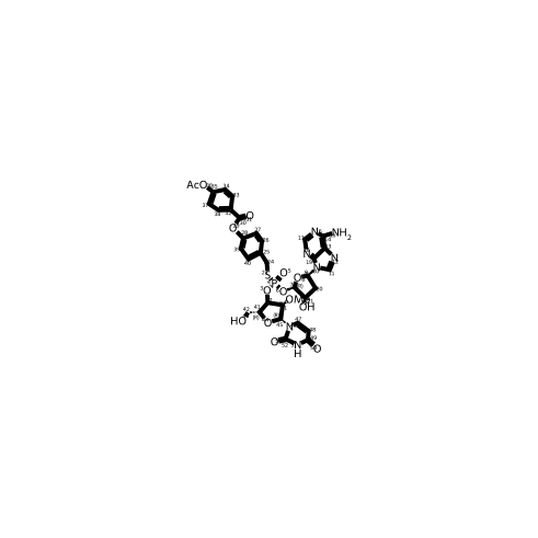 CO[C@H]1C(OP(=O)(O[C@H]2O[C@@H](n3cnc4c(N)ncnc43)C[C@H]2O)SCc2ccc(OC(=O)c3ccc(OC(C)=O)cc3)cc2)[C@@H](CO)O[C@H]1n1ccc(=O)[nH]c1=O